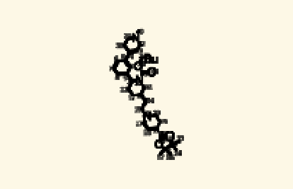 CN1CC=C(c2cccc(C3CCC(CCN4CC=C(B5OC(C)(C)C(C)(C)O5)CC4)CN3C(=O)OC(C)(C)C)c2)CC1